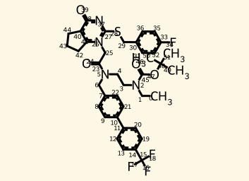 CCN(CCN(Cc1ccc(-c2ccc(C(F)(F)F)cc2)cc1)C(=O)Cn1c(SCc2ccc(F)cc2)nc(=O)c2c1CCC2)C(=O)OC(C)(C)C